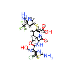 Nc1nc(/C(=N/O)C(=O)N[C@@H]2C(=O)N3C(C(=O)O)=C(Sc4cnc(N)c(C(F)(F)F)c4)CC[C@H]23)c(Cl)s1